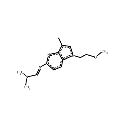 COCCn1cc(I)c2nc(/N=C/N(C)C)ccc21